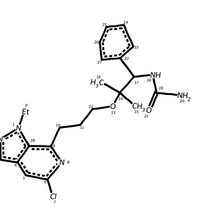 CCn1ncc2cc(Cl)nc(CCCOC(C)(C)C(NC(N)=O)c3ccccc3)c21